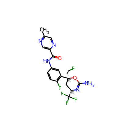 Cc1cnc(C(=O)Nc2ccc(F)c([C@]3(CF)C[C@@H](C(F)(F)F)N=C(N)O3)c2)cn1